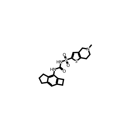 CN1CCc2sc(S(=O)(=O)NC(=O)Nc3c4c(cc5c3CC5)CCC4)cc2C1